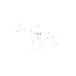 Cc1cc2c(cc1Nc1ncc(C(F)(F)F)c(NCc3cccnc3N(C)S(C)(=O)=O)n1)CC(=O)N2